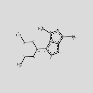 Nc1nc(N)n2c1cnn2N(CCO)CCO